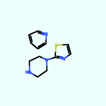 c1ccncc1.c1csc(N2CCNCC2)n1